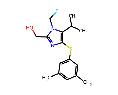 Cc1cc(C)cc(Sc2nc(CO)n(CF)c2C(C)C)c1